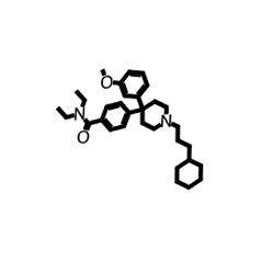 CCN(CC)C(=O)c1ccc(C2(c3cccc(OC)c3)CCN(CCCC3CCCCC3)CC2)cc1